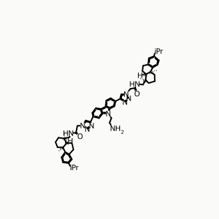 CC(C)c1ccc2c(c1)CC[C@H]1[C@](C)(CNC(=O)Cn3cc(-c4ccc5c6ccc(-c7cn(CC(=O)NC[C@]8(C)CCC[C@]9(C)c%10ccc(C(C)C)cc%10CC[C@@H]89)nn7)cc6n(CCN)c5c4)nn3)CCC[C@]21C